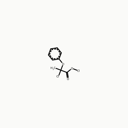 CC(Cl)(Oc1ccccc1)C(=O)OCl